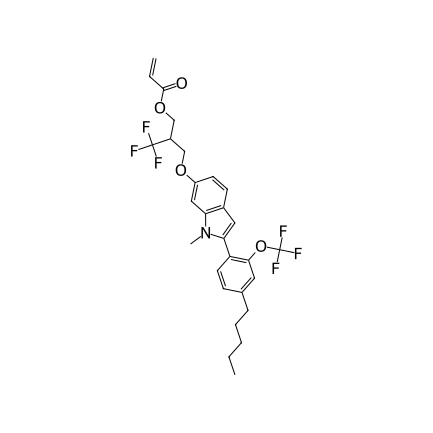 C=CC(=O)OCC(COc1ccc2cc(-c3ccc(CCCCC)cc3OC(F)(F)F)n(C)c2c1)C(F)(F)F